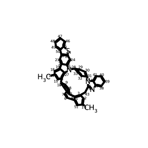 Cc1cc2c3c(ccc4cc(ccc43)-c3cc(C)cc4c5cc6c(cc5n(c34)-c3ccc(cc3)-n3c(nc4ccccc43)C2)sc2ccccc26)c1